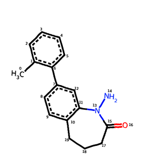 Cc1ccccc1-c1ccc2c(c1)N(N)C(=O)CCC2